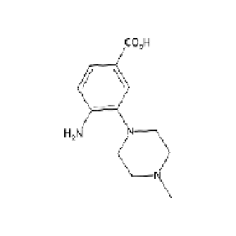 CN1CCN(c2cc(C(=O)O)ccc2N)CC1